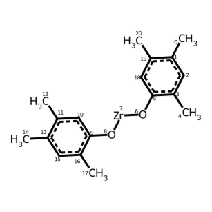 Cc1cc(C)c([O][Zr][O]c2cc(C)c(C)cc2C)cc1C